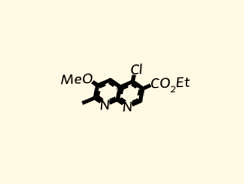 CCOC(=O)c1cnc2nc(C)c(OC)cc2c1Cl